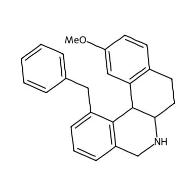 COc1ccc2c(c1)C1c3c(cccc3Cc3ccccc3)CNC1CC2